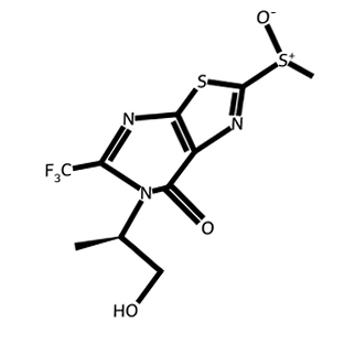 C[C@H](CO)n1c(C(F)(F)F)nc2sc([S+](C)[O-])nc2c1=O